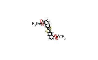 O=C(CC(F)(F)F)OC1CC=Cc2cc3sc4c5c(sc4c3cc21)=CC1C=CCC(OC(=O)CC(F)(F)F)C1C=5